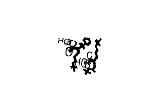 CC(C)(C)CCCCC(C(=O)OO)C(C)(C)c1ccccc1.CC(CC(CCCCC(C)(C)C)C(=O)OO)CC(C)(C)C